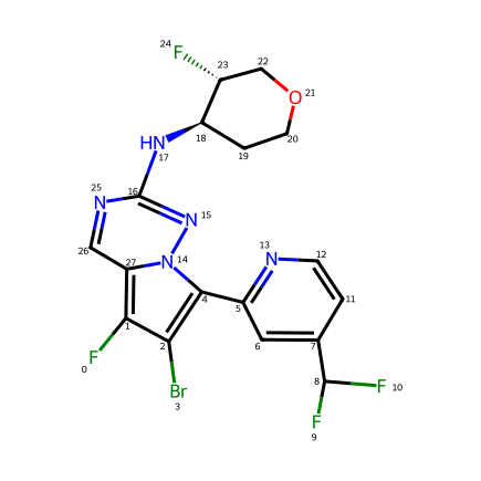 Fc1c(Br)c(-c2cc(C(F)F)ccn2)n2nc(N[C@@H]3CCOC[C@H]3F)ncc12